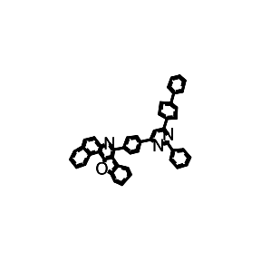 c1ccc(-c2ccc(-c3cc(-c4ccc(-c5nc6ccc7ccccc7c6c6oc7ccccc7c56)cc4)nc(-c4ccccc4)n3)cc2)cc1